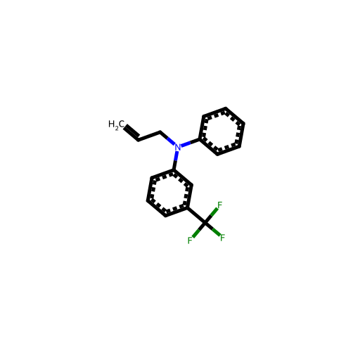 C=CCN(c1ccccc1)c1cccc(C(F)(F)F)c1